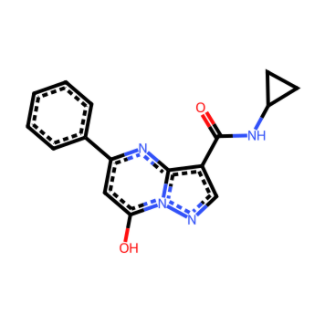 O=C(NC1CC1)c1cnn2c(O)cc(-c3ccccc3)nc12